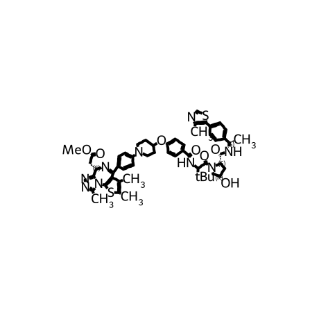 COC(=O)C[C@@H]1N=C(c2ccc(N3CCC(Oc4ccc(C(=O)NC(C(=O)N5C[C@H](O)C[C@H]5C(=O)N[C@@H](C)c5ccc(-c6scnc6C)cc5)C(C)(C)C)cc4)CC3)cc2)c2c(sc(C)c2C)-n2c(C)nnc21